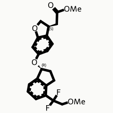 COCC(F)(F)c1cccc2c1CC[C@H]2Oc1ccc2c(c1)OC[C@H]2CC(=O)OC